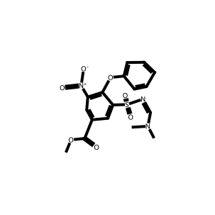 COC(=O)c1cc([N+](=O)[O-])c(Oc2ccccc2)c(S(=O)(=O)/N=C\N(C)C)c1